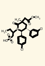 CCC(CS(=O)(=O)O)N1C(=O)[C@@](C)(CC(=O)OC)C[C@H](c2cccc(Cl)c2)[C@H]1c1ccc(Cl)cc1